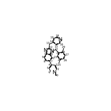 C=N/C=C\C(=C/C)c1ccc2nc(Cc3ccncc3)n(Cc3cc(C)ccc3C)c2c1